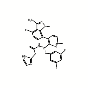 C=C(Cc1ncc[nH]1)N[C@@H](Cc1cc(F)cc(F)c1)c1nc(C)ccc1-c1ccc(Cl)c2c(N)nn(C)c12